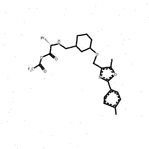 Cc1ccc(-c2nc(COC3CCCC(CN[C@H](C(=O)OC(=O)C(F)(F)F)C(C)C)C3)c(C)o2)cc1